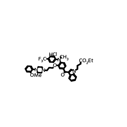 CCOC(=O)CCCn1cc(C(=O)c2ccc(N(C)c3ccc(C(F)(F)F)cc3)c(OCCCN3CCN(c4ccccc4OC)CC3)c2)c2ccccc21.Cl